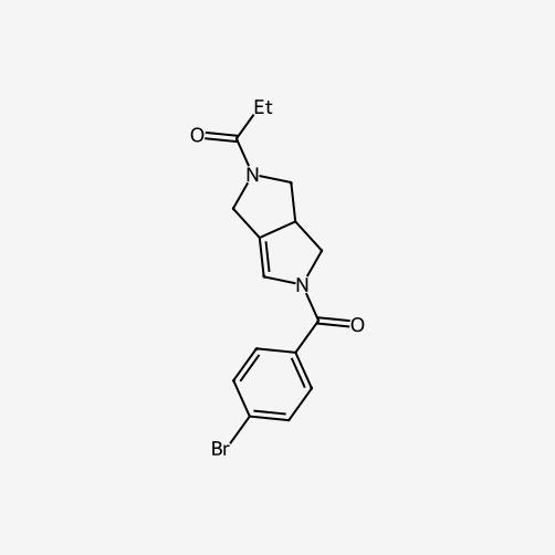 CCC(=O)N1CC2=CN(C(=O)c3ccc(Br)cc3)CC2C1